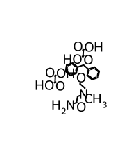 CN(CCOc1ccccc1Cc1ccccc1)CC(N)=O.O=C(O)C(=O)O.O=C(O)C(=O)O